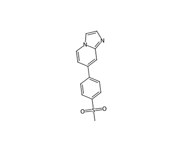 CS(=O)(=O)c1ccc(-c2ccn3ccnc3c2)cc1